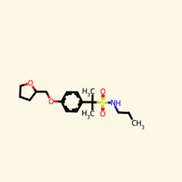 CCCNS(=O)(=O)C(C)(C)c1ccc(OCC2CCCO2)cc1